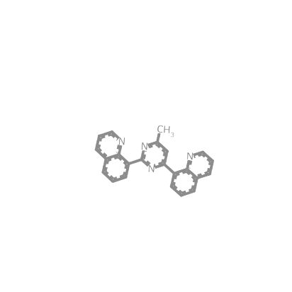 Cc1cc(-c2cccc3cccnc23)nc(-c2cccc3cccnc23)n1